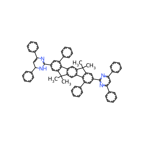 CC1(C)c2cc3c(cc2-c2c(-c4ccccc4)cc(C4=NC(c5ccccc5)=CC(c5ccccc5)N4)cc21)C(C)(C)c1cc(-c2nc(-c4ccccc4)cc(-c4ccccc4)n2)cc(-c2ccccc2)c1-3